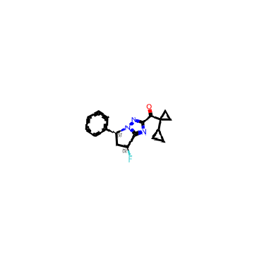 O=C(c1nc2n(n1)[C@H](c1ccccc1)C[C@@H]2F)C1(C2CC2)CC1